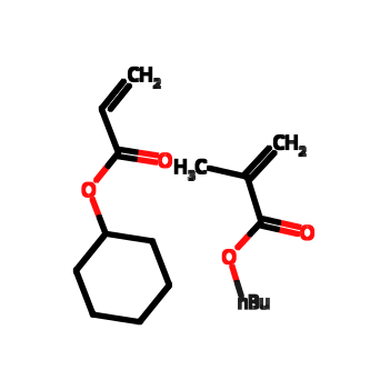 C=C(C)C(=O)OCCCC.C=CC(=O)OC1CCCCC1